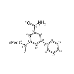 CCCCCN(C)c1nc(C(N)=O)cc(-c2ccccc2)n1